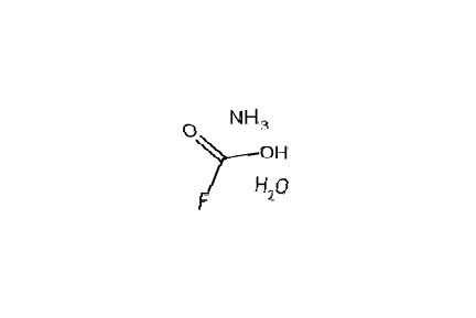 N.O.O=C(O)F